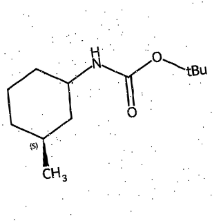 C[C@H]1CCC[C](NC(=O)OC(C)(C)C)C1